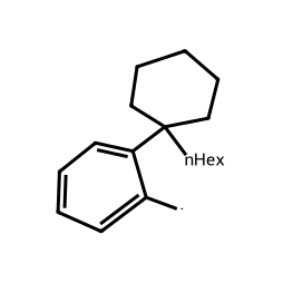 [CH2]c1ccccc1C1(CCCCCC)CCCCC1